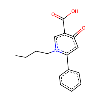 CCCCn1cc(C(=O)O)c(=O)cc1-c1ccccc1